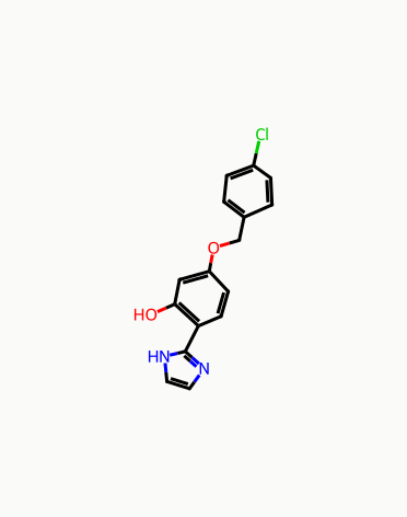 Oc1cc(OCc2ccc(Cl)cc2)ccc1-c1ncc[nH]1